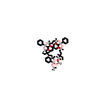 CCC(C)(CC[Si](C)(C)O[Si](O[Si](C)(C)CC[Si](C)(C)O[Si](O[Si](C)(C)C(C)(CC)CC[Si](C)(C)O[Si](O[SiH](C)C)(O[SiH](C)C)c1ccccc1)(c1ccccc1)c1ccccc1)(c1ccccc1)c1ccccc1)[Si](C)(C)C